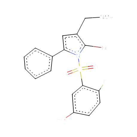 CNCc1cc(-c2ccccc2)n(S(=O)(=O)c2cc(O)ccc2F)c1Br